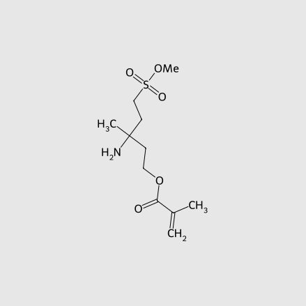 C=C(C)C(=O)OCCC(C)(N)CCS(=O)(=O)OC